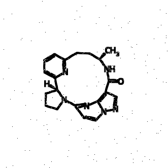 C[C@@H]1CCc2cccc(n2)[C@H]2CCCN2c2ccn3ncc(c3n2)C(=O)N1